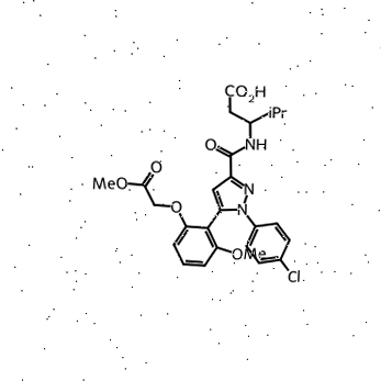 COC(=O)COc1cccc(OC)c1-c1cc(C(=O)NC(CC(=O)O)C(C)C)nn1-c1ccc(Cl)cc1